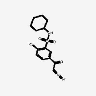 [N-]=[N+]=CC(=O)c1ccc(Cl)c(S(=O)(=O)NC2CCCCC2)c1